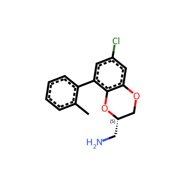 Cc1ccccc1-c1cc(Cl)cc2c1O[C@@H](CN)CO2